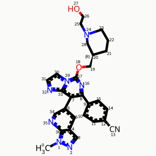 Cn1ncc2cc(-c3c(-c4ccc(C#N)cc4)nc(OC[C@@H]4CCCN(CCO)C4)n4ccnc34)cnc21